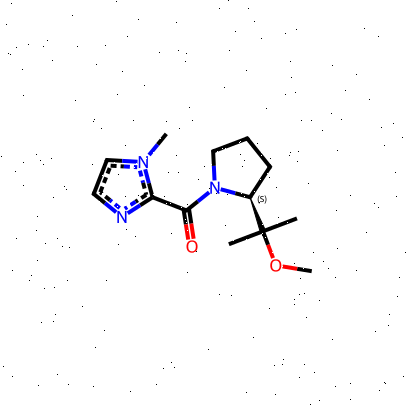 COC(C)(C)[C@@H]1CCCN1C(=O)c1nccn1C